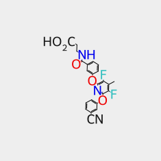 Cc1c(F)c(Oc2cccc(C#N)c2)nc(Oc2cccc(C(=O)NCCC(=O)O)c2)c1F